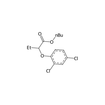 CCCCOC(=O)C(CC)Oc1ccc(Cl)cc1Cl